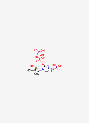 C#C[C@]1(C)C[C@@H](n2ccc(N)nc2=O)C[C@@H]1O.O=P(O)(O)O.O=P(O)(O)O.O=P(O)(O)O